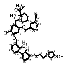 COC(=O)C1(C)CCCCN1Cc1cc(Cl)c(OCc2cccc(-c3cccc(OCCCN4CC[C@@H](O)C4)c3Cl)c2C)cc1OCc1cncc(C#N)c1